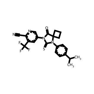 CC(C)c1ccc(N2C(=S)N(c3cnc(C#N)c(C(F)(F)F)c3)C(=O)C23CCC3)cc1